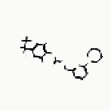 CC(O)(c1cc(Cl)c(NC(=O)NCc2cccc(N3CCCCC3)n2)c(Cl)c1)C(F)(F)F